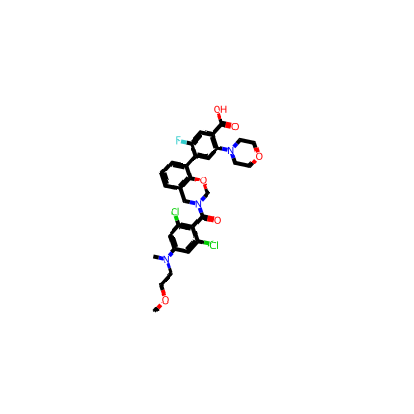 COCCN(C)c1cc(Cl)c(C(=O)N2COc3c(cccc3-c3cc(N4CCOCC4)c(C(=O)O)cc3F)C2)c(Cl)c1